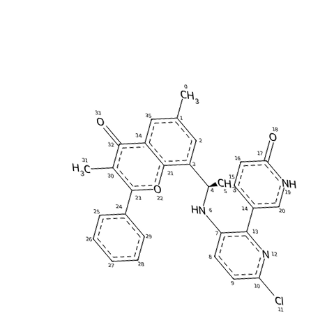 Cc1cc([C@@H](C)Nc2ccc(Cl)nc2-c2ccc(=O)[nH]c2)c2oc(-c3ccccc3)c(C)c(=O)c2c1